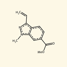 C=Cc1nn(C)c2cc(C(=O)OC)ccc12